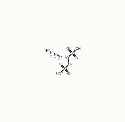 O=S(=O)(O)OOS(=O)(=O)O.[H+].[H+].[Na+].[Na+]